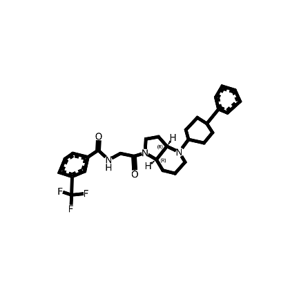 O=C(NCC(=O)N1CC[C@@H]2[C@H]1CCCN2C1CCC(c2ccccc2)CC1)c1cccc(C(F)(F)F)c1